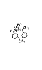 C=C(N[SH](=O)=O)c1ccccc1.C=Cc1cccc(N)c1